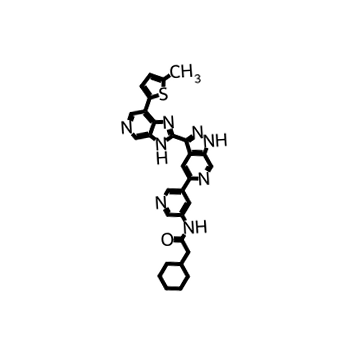 Cc1ccc(-c2cncc3[nH]c(-c4n[nH]c5cnc(-c6cncc(NC(=O)CC7CCCCC7)c6)cc45)nc23)s1